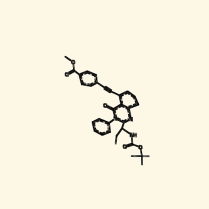 CCC(NC(=O)OC(C)(C)C)c1nc2cccc(C#Cc3ccc(C(=O)OC)cc3)c2c(=O)n1-c1ccccc1